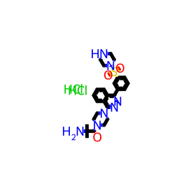 CC(C)(N)C(=O)N1CCN(c2nnc(-c3cccc(S(=O)(=O)N4CCNCC4)c3)c3ccccc23)CC1.Cl.Cl